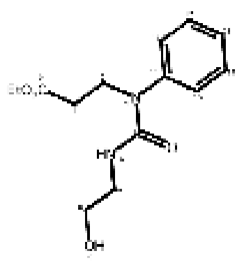 CCOC(=O)CCN(C(=O)NCCO)c1ccccc1